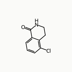 O=C1NCCc2c(Cl)cccc21